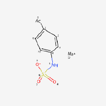 CC(=O)c1ccc(NS(=O)(=O)[O-])cc1.[Na+]